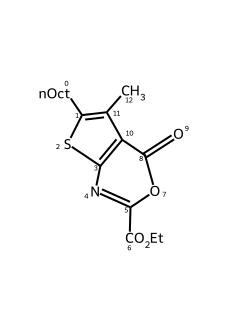 CCCCCCCCc1sc2nc(C(=O)OCC)oc(=O)c2c1C